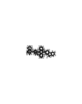 CC1(C)c2ccccc2-c2ccc(-c3c4ccccc4c(-c4ccc(-c5cncc6c5CCCC6)cn4)c4ccccc34)cc21